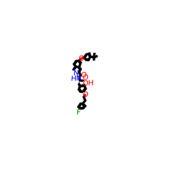 CC(C)(C)c1ccc(Oc2ccc3cnc(C(=O)N[C@@H](Cc4ccc(OCCc5ccc(F)cc5)cc4)C(=O)O)cc3c2)cc1